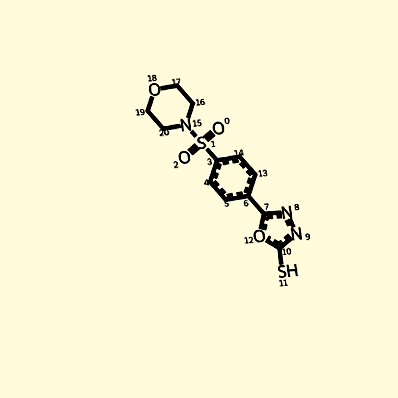 O=S(=O)(c1ccc(-c2nnc(S)o2)cc1)N1CCOCC1